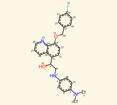 CCN(CC)c1ccc(NC[C@@H](O)c2ccc(OCc3ccc(F)cc3)c3ncccc23)cc1